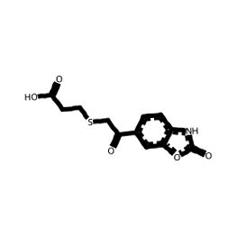 O=C(O)CCSCC(=O)c1ccc2[nH]c(=O)oc2c1